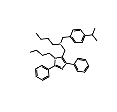 CCCCN(Cc1ccc(C(C)C)cc1)Cc1c(-c2ccccc2)nc(-c2ccccc2)n1CCCC